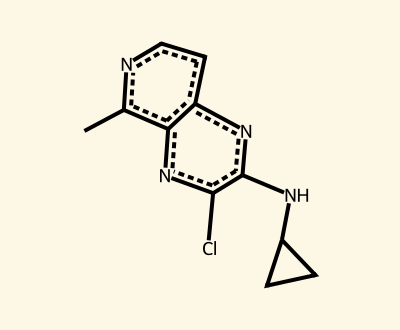 Cc1nccc2nc(NC3CC3)c(Cl)nc12